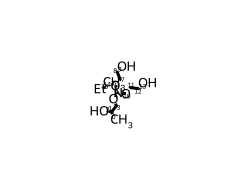 CC(O)CON(OCCO)OCCO.CCC